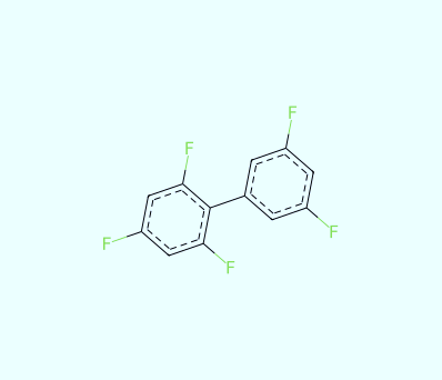 Fc1cc(F)cc(-c2c(F)cc(F)cc2F)c1